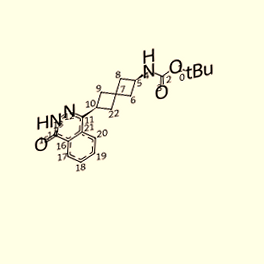 CC(C)(C)OC(=O)N[C@H]1CC2(C1)C[C@H](c1n[nH]c(=O)c3ccccc31)C2